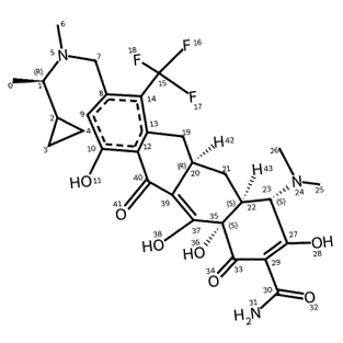 C[C@H](C1CC1)N(C)Cc1cc(O)c2c(c1C(F)(F)F)C[C@H]1C[C@H]3[C@H](N(C)C)C(O)=C(C(N)=O)C(=O)[C@@]3(O)C(O)=C1C2=O